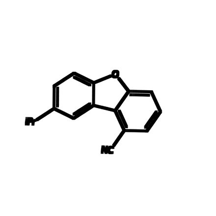 CC(C)c1ccc2oc3cccc(C#N)c3c2c1